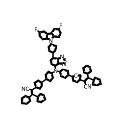 N#CC(=C(c1ccccc1)c1ccccc1)c1ccc(-c2ccc(N(c3ccc(-c4ccc(C(C#N)=C(c5ccccc5)c5ccccc5)cc4)cc3)c3ccc(-c4ccc(-n5c6ccc(F)cc6c6cc(F)ccc65)cc4)c4nsnc34)cc2)cc1